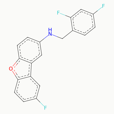 Fc1ccc(CNc2ccc3oc4ccc(F)cc4c3c2)c(F)c1